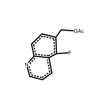 CC(=O)OCc1ccc2ncccc2c1F